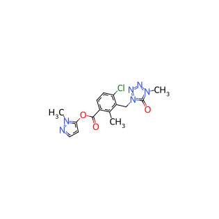 Cc1c(C(=O)Oc2ccnn2C)ccc(Cl)c1Cn1nnn(C)c1=O